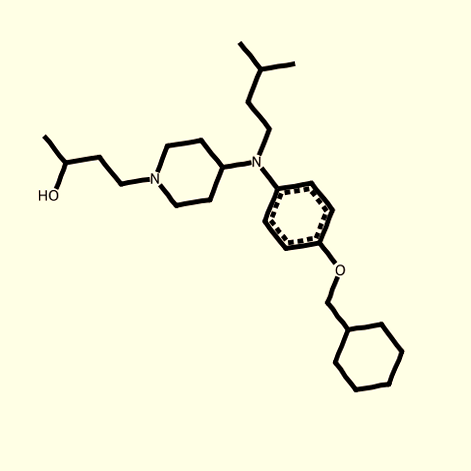 CC(C)CCN(c1ccc(OCC2CCCCC2)cc1)C1CCN(CCC(C)O)CC1